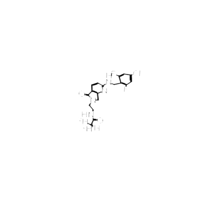 [2H]C([2H])([2H])C(=O)NCCN1Cc2nc(NCc3c(F)cc(Cl)cc3F)ccc2C1=O